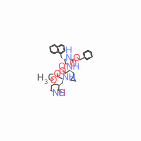 COC(=O)[C@H](C[C@@H]1CCCNC1=O)NC(=O)[C@H](CC1CC1)NC(=O)[C@H](Cc1cccc2ccccc12)NC(=O)OCc1ccccc1